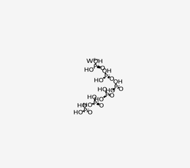 O=[P-](O)O.O=[P-](O)O.O=[P-](O)O.O=[P-](O)O.O=[P-](O)O.O=[P-](O)O.[W+6]